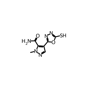 Cn1ncc(-c2nnc(S)o2)c1C(N)=O